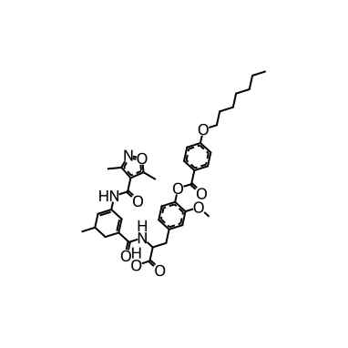 CCCCCCCOc1ccc(C(=O)Oc2ccc(CC(NC(=O)C3=CC(NC(=O)c4c(C)noc4C)=CC(C)C3)C(=O)O)cc2OC)cc1